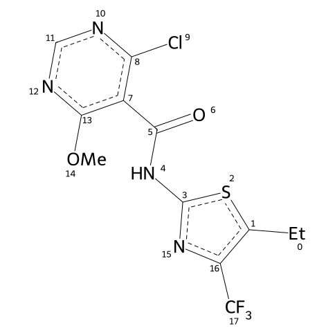 CCc1sc(NC(=O)c2c(Cl)ncnc2OC)nc1C(F)(F)F